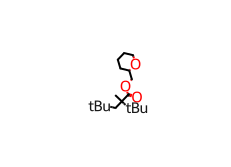 CC(C)(C)CC(C)(C(=O)OCC1CCCCO1)C(C)(C)C